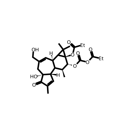 CCC(=O)OC(=O)O[C@@H]1[C@@H](C)C2[C@@H](C=C(CO)C[C@]3(O)C(=O)C(C)=C[C@@H]23)C2C(C)(C)[C@@]21OC(=O)CC